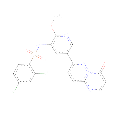 COc1ncc(-c2ccc3nccc(=O)n3n2)cc1NS(=O)(=O)c1ccc(F)cc1Cl